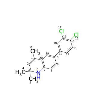 CC1=CC(C)(C)Nc2ccc(-c3ccc(Cl)c(Cl)c3)cc21